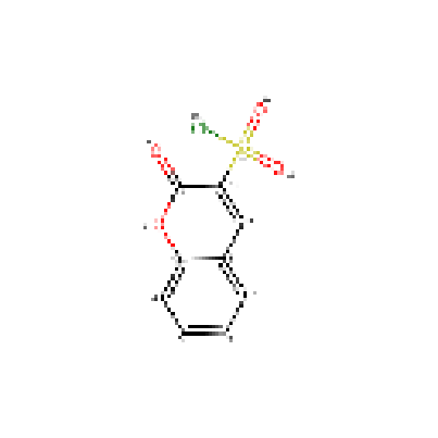 O=c1oc2ccccc2cc1S(=O)(=O)Cl